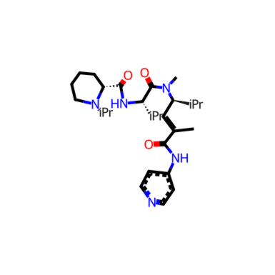 C/C(=C\[C@H](C(C)C)N(C)C(=O)[C@@H](NC(=O)[C@H]1CCCCN1C(C)C)C(C)C)C(=O)Nc1ccncc1